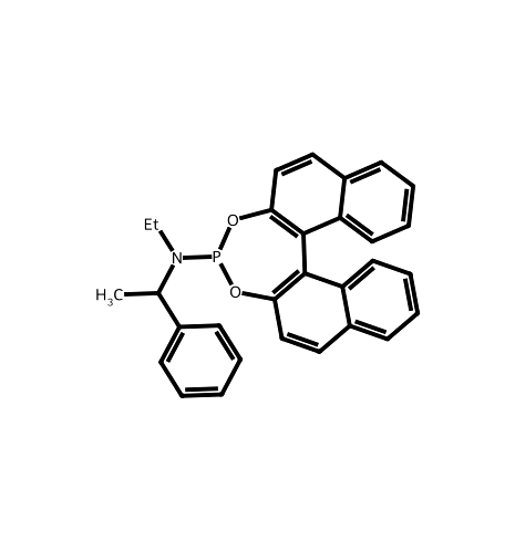 CCN(C(C)c1ccccc1)p1oc2ccc3ccccc3c2c2c(ccc3ccccc32)o1